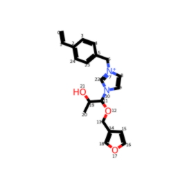 C=Cc1ccc(C[n+]2ccn(C(OCc3ccoc3)C(C)O)c2)cc1